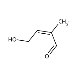 [CH2]C(C=O)=CCO